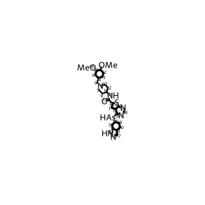 COc1ccc(CN2CCC(NC(=O)c3cc4c([AsH]c5ccc6cn[nH]c6c5)ncnc4s3)CC2)cc1OC